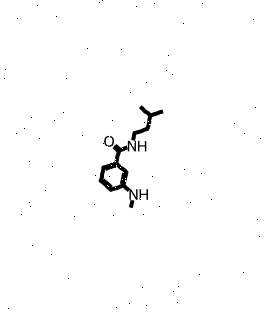 CNc1cccc(C(=O)NCCC(C)C)c1